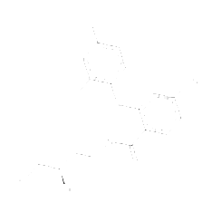 N#Cc1ccc(C(=O)NOC[C@@H](O)CO)c(Nc2ccc(I)cc2F)c1